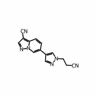 N#CCCn1cc(-c2ccc3c(C#N)cnn3c2)cn1